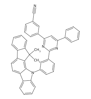 CC1(C)c2ccccc2-c2ccc3c4ccccc4n(-c4cccc(-c5nc(-c6ccccc6)cc(-c6cccc(C#N)c6)n5)c4)c3c21